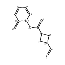 O=CN1CC(C(=O)On2ccccc2=S)C1